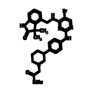 CNC(=O)CN1CCCC(c2ccc(Nc3ncc(Br)c(NCc4cccc5c4C(C)(C)C(=O)N5)n3)cc2)C1